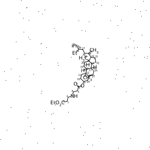 CCOC(=O)CCNCCC(=O)O[C@H]1CC[C@@]2(C)C(=CC[C@@H]3[C@@H]2CC[C@]2(C)C([C@H](C)CC[C@@H](CC)C(C)C)CC[C@@H]32)C1